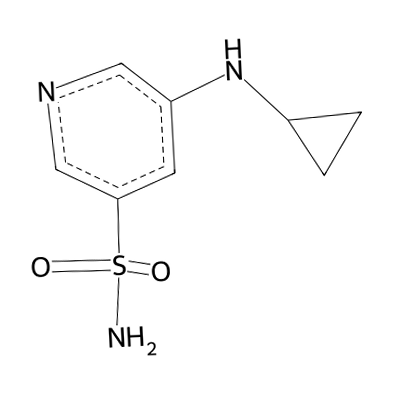 NS(=O)(=O)c1cncc(NC2CC2)c1